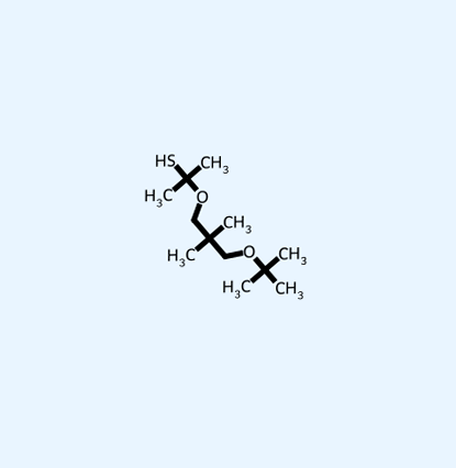 CC(C)(COC(C)(C)C)COC(C)(C)S